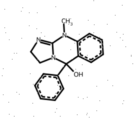 CN1C2=NCCN2C(O)(c2ccccc2)c2ccccc21